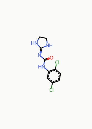 O=C(N=C1NCCN1)Nc1cc(Cl)ccc1Cl